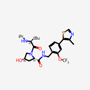 Cc1ncsc1-c1ccc(CNC(=O)[C@@H]2C[C@@H](O)CN2C(=O)[C@@H](NC(C)C)C(C)(C)C)c(OC(F)(F)F)c1